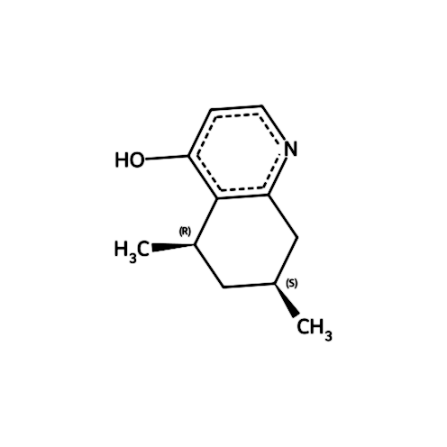 C[C@@H]1Cc2nccc(O)c2[C@H](C)C1